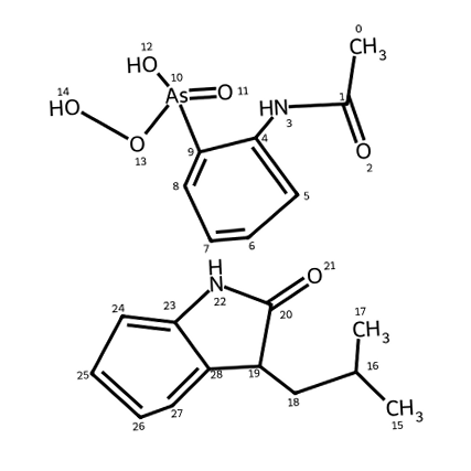 CC(=O)Nc1ccccc1[As](=O)(O)OO.CC(C)CC1C(=O)Nc2ccccc21